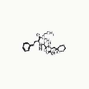 CCOC(=O)[C@H](CCc1ccccc1)NC(C)C(=O)NC(C[C@]1(C)CCCCS1)C(=O)O